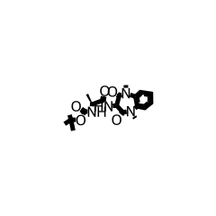 C[C@H](NC(=O)OC(C)(C)C)C(=O)NC1C(=O)N(C)c2ccccc2N(C)C1=O